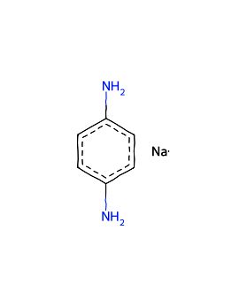 Nc1ccc(N)cc1.[Na]